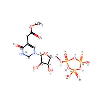 COC(=O)CC1=CN([C@@H]2O[C@H](COP3(=O)OP(=O)(O)OP(=O)(O)O3)C(O)C2O)CNC1=O